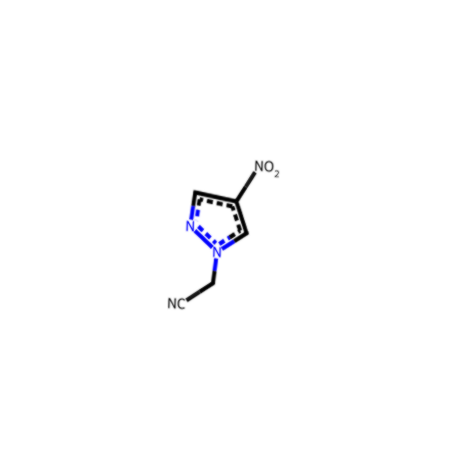 N#CCn1cc([N+](=O)[O-])cn1